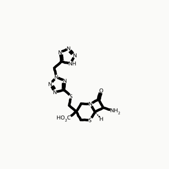 NC1C(=O)N2CC(CSc3nnn(Cc4nnn[nH]4)n3)(C(=O)O)CS[C@H]12